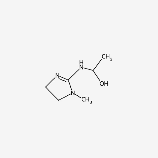 CC(O)NC1=NCCN1C